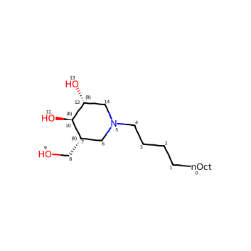 CCCCCCCCCCCCN1C[C@H](CO)[C@@H](O)[C@H](O)C1